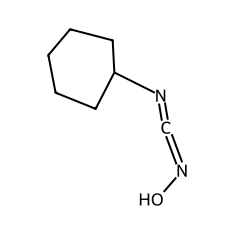 ON=C=NC1CCCCC1